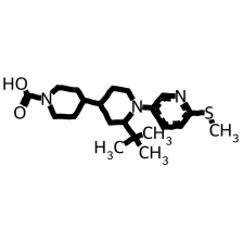 CSc1ccc(N2CCC(C3CCN(C(=O)O)CC3)CC2C(C)(C)C)cn1